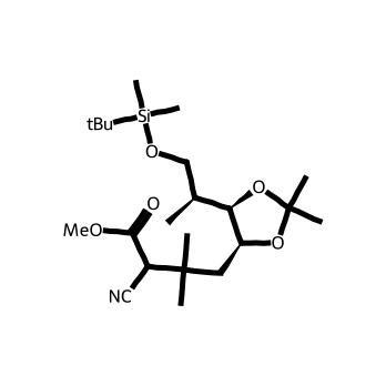 COC(=O)C(C#N)C(C)(C)C[C@@H]1OC(C)(C)O[C@@H]1[C@@H](C)CO[Si](C)(C)C(C)(C)C